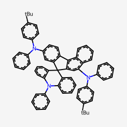 CC(C)(C)c1ccc(N(c2ccccc2)c2ccc3c(c2)C2(c4ccccc4N(c4ccccc4)c4ccccc42)c2cc(N(c4ccccc4)c4ccc(C(C)(C)C)cc4)c4ccccc4c2-3)cc1